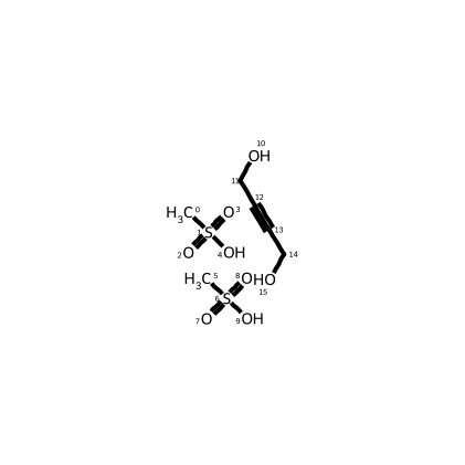 CS(=O)(=O)O.CS(=O)(=O)O.OCC#CCO